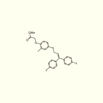 COC(=O)COc1ccc(SCC=C(c2ccc(I)cc2)c2ccc(I)cc2)cc1C